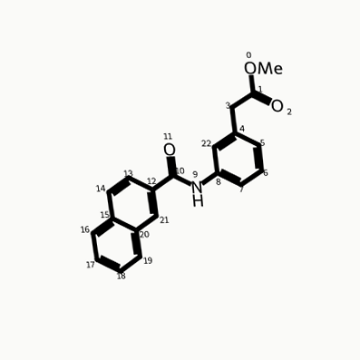 COC(=O)Cc1cccc(NC(=O)c2ccc3ccccc3c2)c1